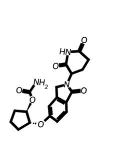 NC(=O)O[C@@H]1CCC[C@H]1Oc1ccc2c(c1)CN(C1CCC(=O)NC1=O)C2=O